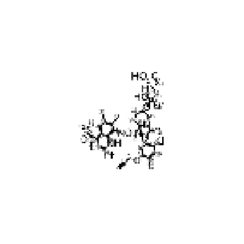 C#CCOc1cc(-n2nc3n(c2=O)CCCC3)c(Cl)cc1Cl.CCC(CC)Nc1c([N+](=O)[O-])cc(C)c(C)c1[N+](=O)[O-].C[S+](C)C.O=C(O)CNCP(=O)([O-])O